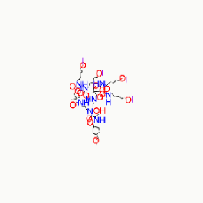 COCC1CCC(C(=O)NC(CO)C(=O)N(CCCNC(=O)C(C)(COC(=O)NCCCCCOI)COC(=O)NCCCCCOI)CCCNC(=O)C(C)(COC(=O)NCCCCCOI)COC(=O)NCCCCCOI)CC1